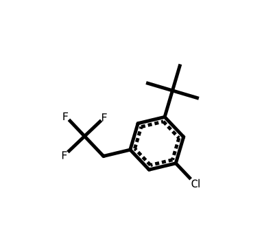 CC(C)(C)c1cc(Cl)cc(CC(F)(F)F)c1